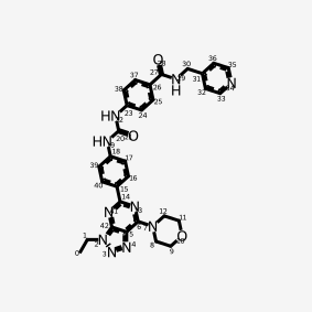 CCn1nnc2c(N3CCOCC3)nc(-c3ccc(NC(=O)Nc4ccc(C(=O)NCc5ccncc5)cc4)cc3)nc21